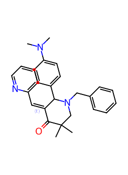 CN(C)c1ccc(C2/C(=C\c3ccccn3)C(=O)C(C)(C)CN2Cc2ccccc2)cc1